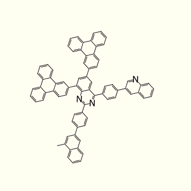 Cc1cc(-c2ccc(-c3nc(-c4ccc(-c5cnc6ccccc6c5)cc4)c4cc(-c5ccc6c7ccccc7c7ccccc7c6c5)cc(-c5ccc6c7ccccc7c7ccccc7c6c5)c4n3)cc2)cc2ccccc12